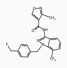 Cc1nocc1C(=O)Nc1nn(Cc2ccc(CF)cc2)c2c(C(F)(F)F)cccc12